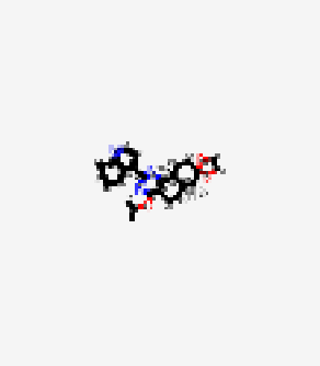 CC(C)Oc1nc(-c2ccnc3ccccc23)nc2c1CC[C@@H]1[C@@H](C)C3(CC[C@@]21C)OCCO3